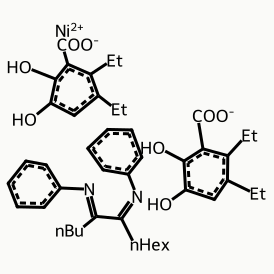 CCCCCCC(=Nc1ccccc1)C(CCCC)=Nc1ccccc1.CCc1cc(O)c(O)c(C(=O)[O-])c1CC.CCc1cc(O)c(O)c(C(=O)[O-])c1CC.[Ni+2]